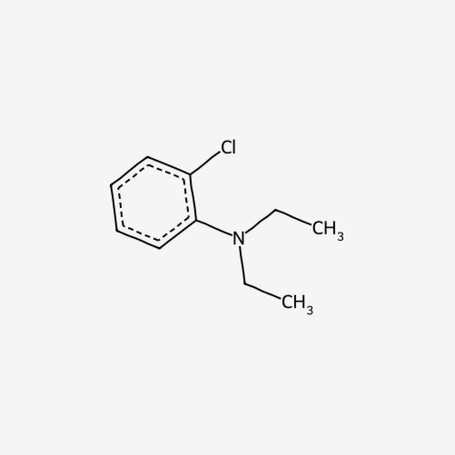 CCN(CC)c1ccccc1Cl